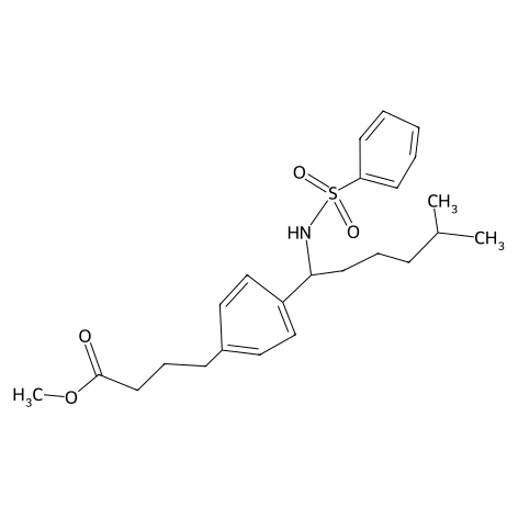 COC(=O)CCCc1ccc(C(CCCC(C)C)NS(=O)(=O)c2ccccc2)cc1